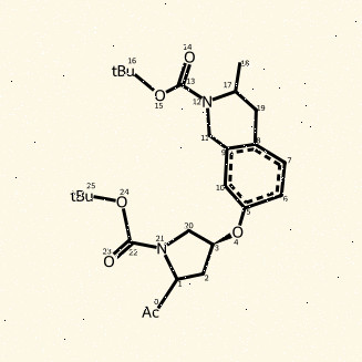 CC(=O)C1C[C@H](Oc2ccc3c(c2)CN(C(=O)OC(C)(C)C)C(C)C3)CN1C(=O)OC(C)(C)C